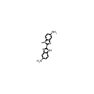 Cn1c(-c2nc3cc(N)ccc3[nH]2)nc2cc(N)ccc21